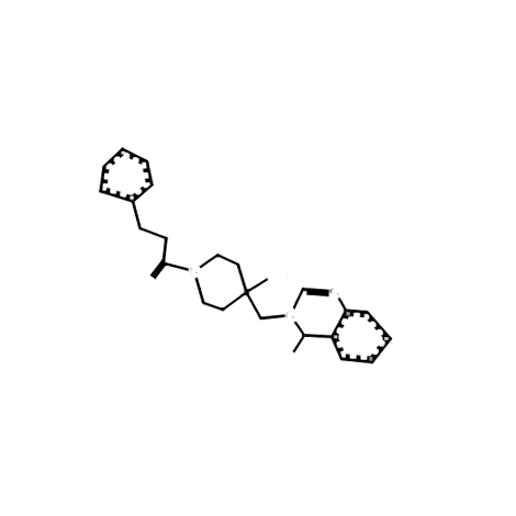 O=CC1c2ccccc2N=CN1CC1(O)CCN(C(=O)CCc2ccccc2)CC1